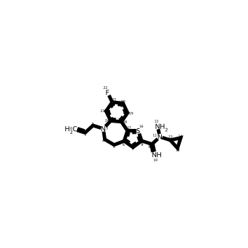 C=CCN1CCc2cc(C(=N)N(N)C3CC3)sc2-c2ccc(F)cc21